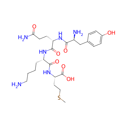 CSCC[C@H](NC(=O)[C@H](CCCCN)NC(=O)[C@H](CCC(N)=O)NC(=O)[C@@H](N)Cc1ccc(O)cc1)C(=O)O